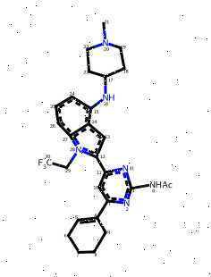 CC(=O)Nc1nc(C2=CCCCC2)cc(-c2cc3c(NC4CCN(C)CC4)cccc3n2CC(F)(F)F)n1